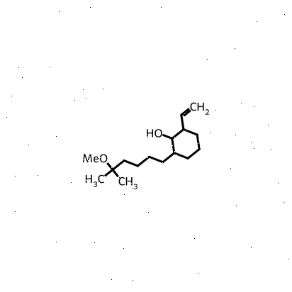 C=CC1CCCC(CCCCC(C)(C)OC)C1O